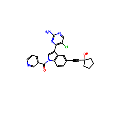 Nc1ncc(Cl)c(-c2cn(C(=O)c3cccnc3)c3ccc(C#CC4(O)CCCC4)cc23)n1